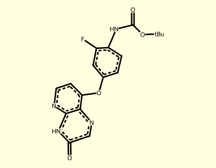 CC(C)(C)OC(=O)Nc1ccc(Oc2ccnc3[nH]c(=O)cnc23)cc1F